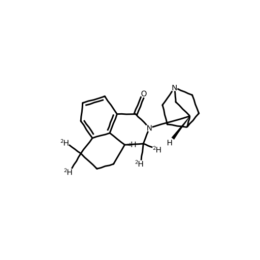 [2H]C1([2H])CC[C@H]2c3c(cccc31)C(=O)N([C@@H]1CN3CCC1CC3)C2([2H])[2H]